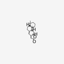 CC1(C)CCC[C@@]2(C)[C@@H]3C[C@H]4OC(=O)C=C4C=C3CC[C@H]12